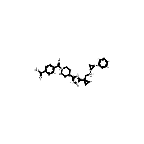 O=C(O)c1ccc(C(=O)N2CCC(c3nc(C4(CN[C@H]5C[C@@H]5c5ccccc5)CC4)no3)CC2)cc1